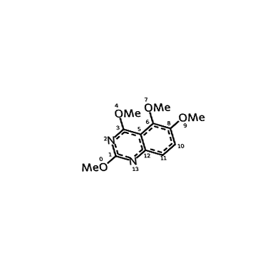 COc1nc(OC)c2c(OC)c(OC)ccc2n1